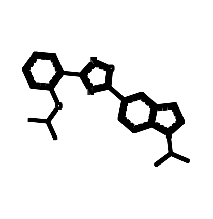 CC(C)Oc1ccccc1-c1noc(-c2ccc3c(ccn3C(C)C)c2)n1